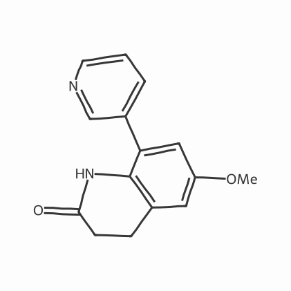 COc1cc2c(c(-c3cccnc3)c1)NC(=O)CC2